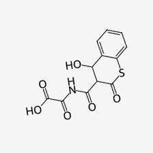 O=C(O)C(=O)NC(=O)C1C(=O)Sc2ccccc2C1O